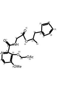 COc1ccnc(C(=O)NCC(=O)OC(C)Cc2ccccc2)c1OCOC(C)=O